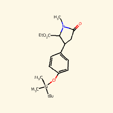 CCOC(=O)C1C(c2ccc(O[Si](C)(C)C(C)(C)C)cc2)CC(=O)N1C